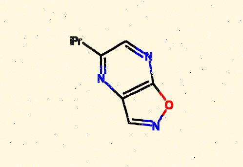 CC(C)c1cnc2oncc2n1